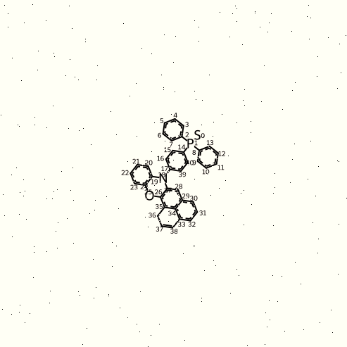 S=P(c1ccccc1)(c1ccccc1)c1ccc(N2c3ccccc3Oc3c2cc2cccc4c2c3CC=C4)cc1